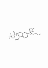 C=CC1c2ccc([S+]([O-])CCCC)cc2CN1C(=C)OC(C)(C)C